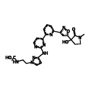 CN1CCC(O)(c2cc(-c3cccc(-c4ccnc(Nc5ccn(CCNC(=O)O)n5)n4)n3)no2)C1=O